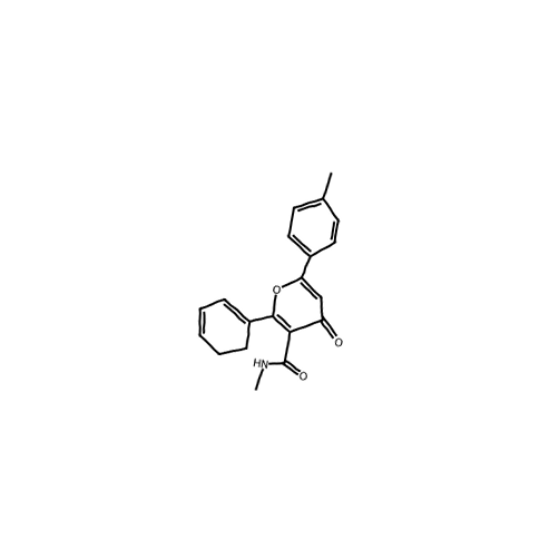 CNC(=O)c1c(C2=CC=CCC2)oc(-c2ccc(C)cc2)cc1=O